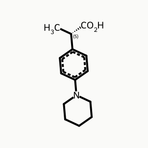 C[C@H](C(=O)O)c1ccc(N2CCCCC2)cc1